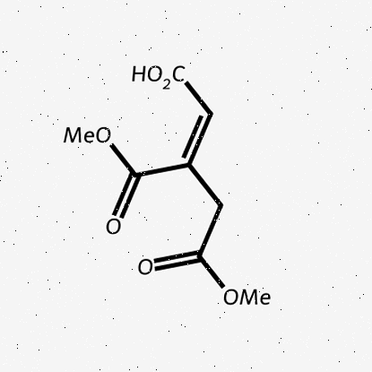 COC(=O)CC(=CC(=O)O)C(=O)OC